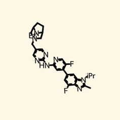 CCN1C2CCC1CN(Cc1cnc(Nc3cc(-c4cc(F)c5nc(C)n(C(C)C)c5c4)c(F)cn3)nc1)C2